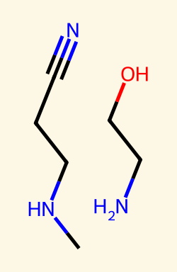 CNCCC#N.NCCO